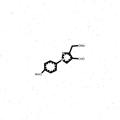 COCc1nn(-c2ccc(OC)cc2)cc1C=O